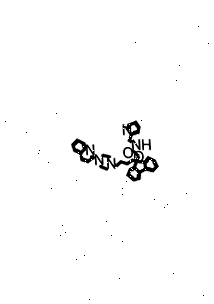 O=C(NCc1ccccn1)OC1(CCCCN2CCN(c3ccc4ccccc4n3)CC2)c2ccccc2-c2ccccc21